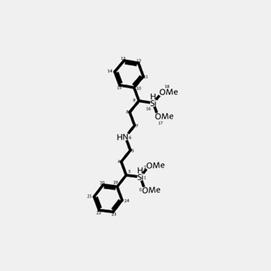 CO[SiH](OC)C(CCNCCC(c1ccccc1)[SiH](OC)OC)c1ccccc1